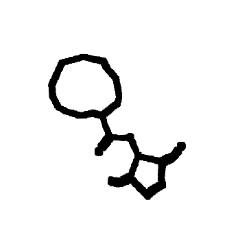 O=C(ON1C(=O)CCC1=O)C1CCCCCCCC1